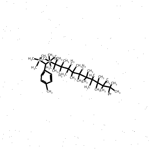 Cc1ccc(C([Si](C)(C)C)S(C)(C)(C)(C)C(C)(C)C(C)(C)C(C)(C)C(C)(C)C(C)(C)C(C)(C)C(C)(C)C(C)(C)C(C)(C)C(C)(C)C(C)C)cc1